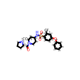 O=C([C@@H]1CCCN1C(=O)O)N1CCC(NS(=O)(=O)c2ccc(Oc3ccccc3)cc2C(F)(F)F)CC1